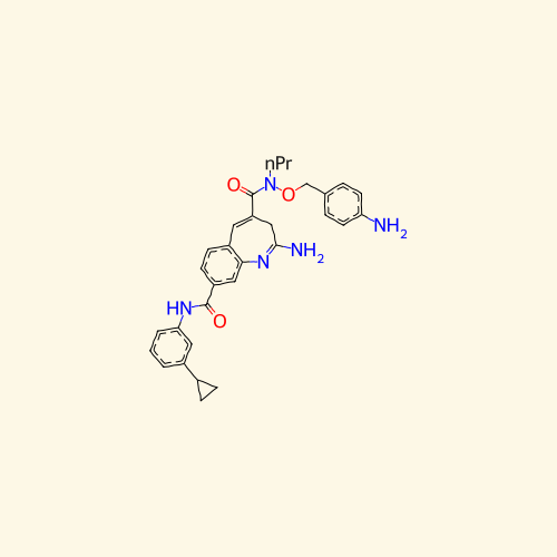 CCCN(OCc1ccc(N)cc1)C(=O)C1=Cc2ccc(C(=O)Nc3cccc(C4CC4)c3)cc2N=C(N)C1